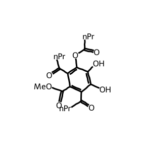 CCCC(=O)Oc1c(O)c(O)c(C(=O)CCC)c(C(=O)OC)c1C(=O)CCC